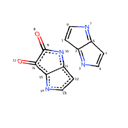 C1=CC2=NC=CC2=N1.O=c1nc2ccnc-2c1=O